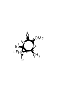 CCC12OC(=O)C(OC)OC(C)C1[PH]2(F)F